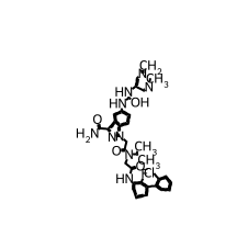 C=N/C=C(\C=N/C)NC(O)Nc1ccc2c(c1)c(C(N)=O)nn2CC(=O)N(CC(=O)Nc1cccc(-c2ccccc2Cl)c1F)C(C)C